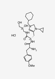 COc1ccc(CC(N)C(=O)N[C@@H](CC2=CN(CC3CCCCC3)CN2C2CC2)C(=O)NC[C@@H](O)CO)cc1.Cl